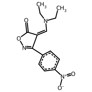 CCN(C=C1C(=O)ON=C1c1ccc([N+](=O)[O-])cc1)CC